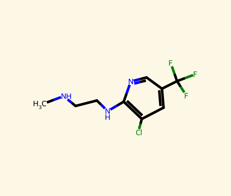 CNCCNc1ncc(C(F)(F)F)cc1Cl